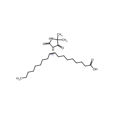 CC1(C)NC(=O)NC1=O.CCCCCCCC/C=C\CCCCCCCC(=O)O